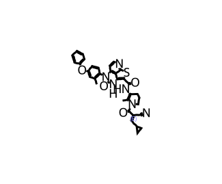 CC1=C(NC(=O)c2sc3nccc4c3c2NC(=O)N4c2ccc(Oc3ccccc3)cc2C)CCCN1C(=O)/C(C#N)=C/C1CC1